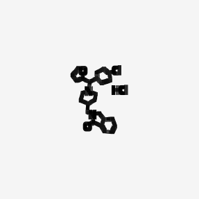 Cl.O=C1c2ccccc2CN1CC1CCN(C(c2ccc(Cl)cc2)c2ccco2)CC1